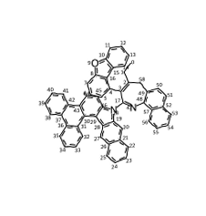 CCC1=C(c2cccc3oc4ccccc4c23)C(n2c3cc4ccccc4cc3c3c4c5ccccc5c5ccccc5c4ccc32)=Nc2c(ccc3ccccc23)C1